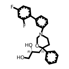 OC[C@H](O)C[C@]1(c2ccccc2)CCN(c2cccc(-c3ccc(F)cc3F)c2)CO1